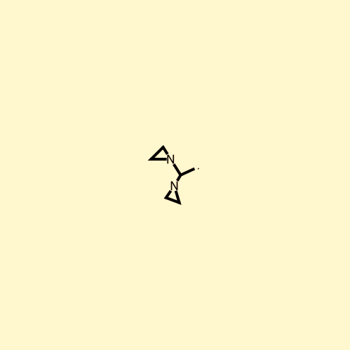 [CH2]C(N1CC1)N1CC1